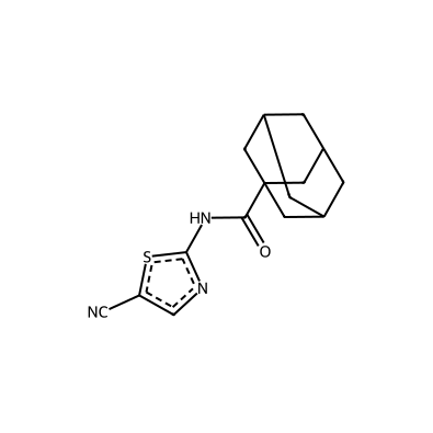 N#Cc1cnc(NC(=O)C23CC4CC(CC(C4)C2)C3)s1